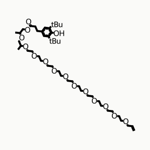 C=CCOCCOCCOCCOCCOCCOCCOCCOCCOCCOCCOC(C)COC(C)COC(=O)CCc1cc(C(C)(C)C)c(O)c(C(C)(C)C)c1